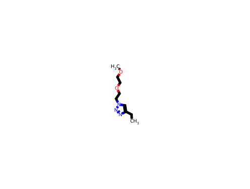 CCc1cn(CCOCCOC)nn1